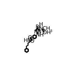 C[C@H](CO)Nc1nc(Nc2ccc(S(=O)(=O)NCCCCc3ccccc3)cc2)ncc1Br